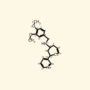 COc1ccc(CNC2CC=CCC(c3cccnc3)C2)cc1OC